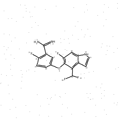 N=C(N)c1cc(Oc2c(F)cc3[nH]ccc3c2C(F)F)ccc1F